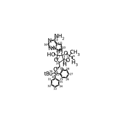 CC1(C)O[C@H]2[C@@H](O1)C(O)(c1ccc3c(N)ncnn13)O[C@@H]2CO[Si](c1ccccc1)(c1ccccc1)C(C)(C)C